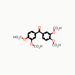 O=C(O)Oc1ccc(C(=O)c2ccc(OC(=O)O)c(OC(=O)O)c2)cc1OC(=O)O